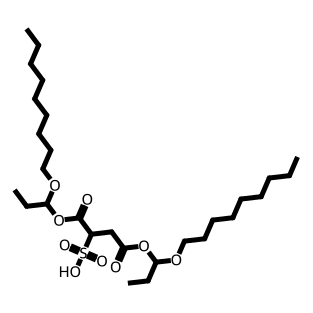 CCCCCCCCCOC(CC)OC(=O)CC(C(=O)OC(CC)OCCCCCCCCC)S(=O)(=O)O